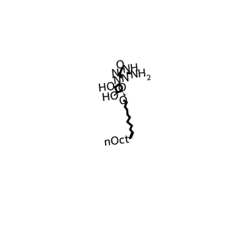 CCCCCCCC/C=C\CCCCCCCCOC[C@H]1O[C@@H](n2cnc3c(=O)[nH]c(N)nc32)[C@H](O)[C@@H]1O